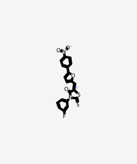 O=C1/C(=C\c2ccc(-c3ccc([N+](=O)[O-])cc3)o2)SC(=S)N1c1cccc(F)c1